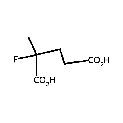 CC(F)(CCC(=O)O)C(=O)O